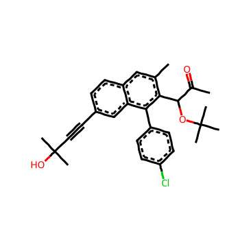 CC(=O)C(OC(C)(C)C)c1c(C)cc2ccc(C#CC(C)(C)O)cc2c1-c1ccc(Cl)cc1